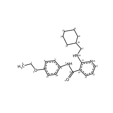 CCOc1ccc(NC(=O)c2cccnc2NCC2CCCCC2)cc1